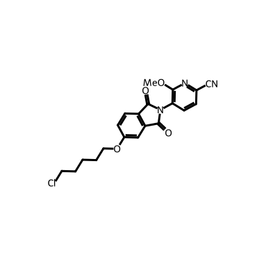 COc1nc(C#N)ccc1N1C(=O)c2ccc(OCCCCCCl)cc2C1=O